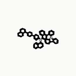 c1ccc(-n2c3ccccc3c3ccccc32)c(-c2ccc(N(c3ccc(-c4ccc(-c5cccc6ccccc56)cc4)cc3)c3cccc4ccccc34)c3ccccc23)c1